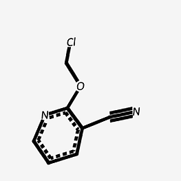 N#Cc1cccnc1OCCl